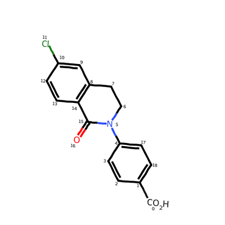 O=C(O)c1ccc(N2CCc3cc(Cl)ccc3C2=O)cc1